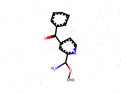 NC(OC=O)c1cc(C(=O)c2ccccc2)ccn1